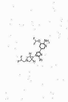 CC(C)c1nc(-c2cnc(N)c(OC(F)F)c2)cn1[C@@H]1[C@@H]2CN(CC(F)F)C[C@@H]21